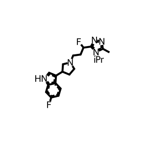 Cc1nnc(C(F)CCN2CCC(c3c[nH]c4cc(F)ccc34)C2)n1C(C)C